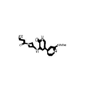 CC/C=C/C(=O)N1CC(Nc2cc(-c3ccnc(NC)c3)c[nH]c2=O)C1